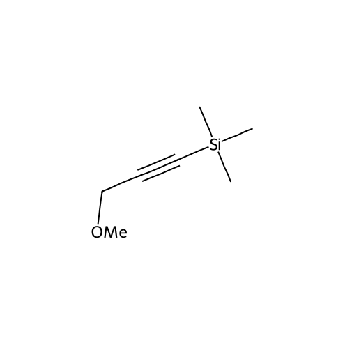 [CH2]OCC#C[Si](C)(C)C